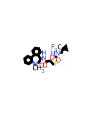 CN1C(=O)C(NC(=O)C(CF)OC(=O)NCC2(C(F)(F)F)CC2)c2ccccc2-c2ccccc21